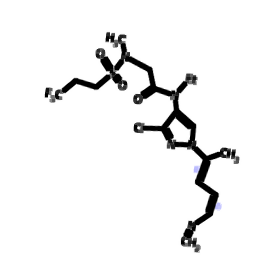 C=N/C=C\C=C(/C)n1cc(N(CC)C(=O)CN(C)S(=O)(=O)CCC(F)(F)F)c(Cl)n1